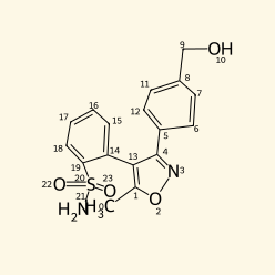 Cc1onc(-c2ccc(CO)cc2)c1-c1ccccc1S(N)(=O)=O